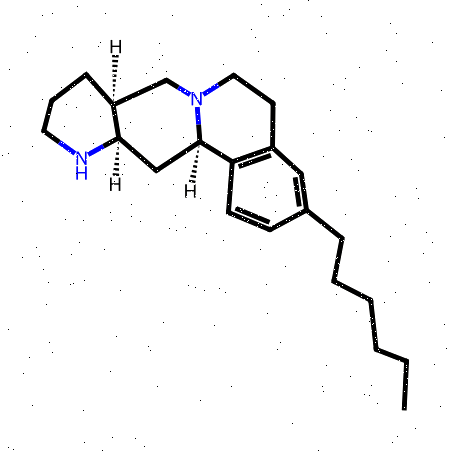 CCCCCCc1ccc2c(c1)CCN1C[C@@H]3CCCN[C@@H]3C[C@H]21